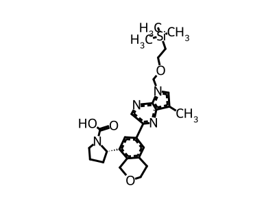 Cc1cn(COCC[Si](C)(C)C)c2ncc(-c3cc4c(c([C@@H]5CCCN5C(=O)O)c3)COCC4)nc12